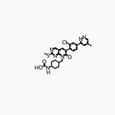 CSc1ncc2cc(-c3ccc(-c4cc(C)cnn4)cc3Cl)c(=O)n(CC3CCC(NC(=O)O)CC3)c2n1